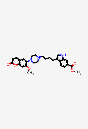 COC(=O)c1ccc2c(CCCCN3CCN(c4cc5ccc(=O)oc5cc4OC)CC3)c[nH]c2c1